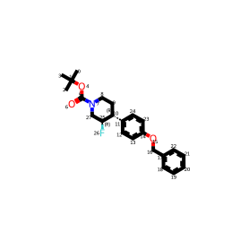 CC(C)(C)OC(=O)N1CC[C@H](c2ccc(OCc3ccccc3)cc2)[C@@H](F)C1